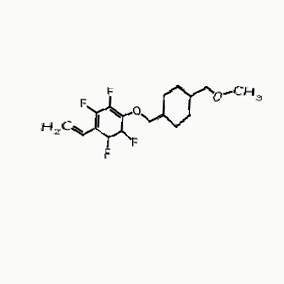 C=CC1=C(F)C(F)=C(OCC2CCC(COC)CC2)C(F)C1F